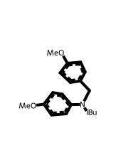 CCC(C)N(Cc1ccc(OC)cc1)c1ccc(OC)cc1